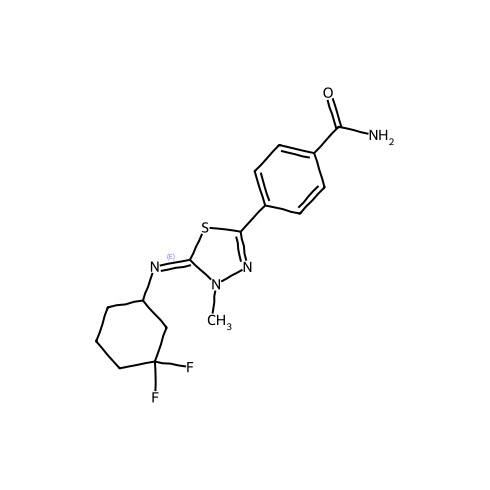 Cn1nc(-c2ccc(C(N)=O)cc2)s/c1=N/C1CCCC(F)(F)C1